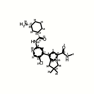 CNC(=O)c1cc(-c2cc(NC(=O)[C@H]3CCC[C@@H](N)C3)ncc2Cl)c2n1CC(C)(C)C2